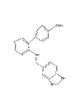 COc1ccc(-c2cccnc2NCc2ccc3[nH]cnc3c2)cc1